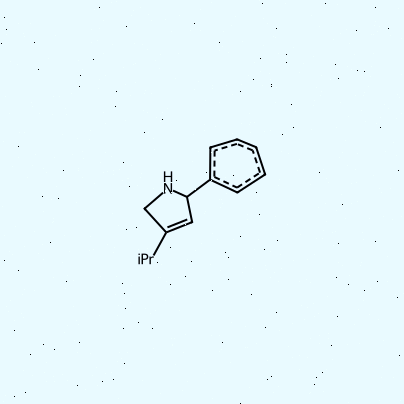 CC(C)C1=CC(c2ccccc2)NC1